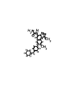 Cc1cc2c(cc1-c1ccc(CN3CCCCC3)cc1)cc(NC(N)=O)c1nnc(C)n12